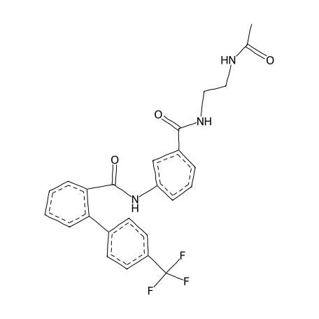 CC(=O)NCCNC(=O)c1cccc(NC(=O)c2ccccc2-c2ccc(C(F)(F)F)cc2)c1